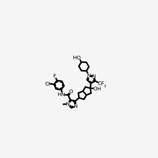 Cn1cnc(C2CC3CC(O)(c4cn(C5CCC(O)CC5)nc4C(F)(F)F)CC3C2)c1C(=O)Nc1ccc(F)c(Cl)c1